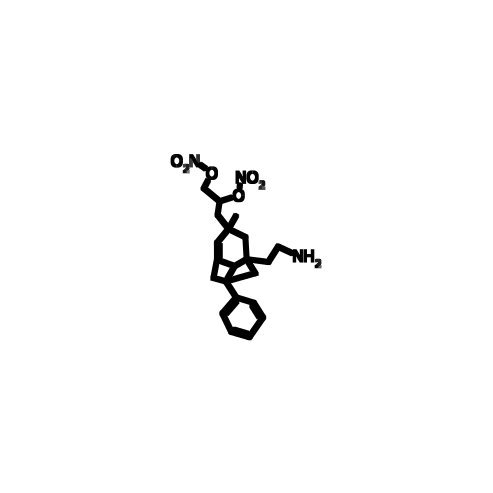 CC1(CC(CO[N+](=O)[O-])O[N+](=O)[O-])C=C2CC3(c4ccccc4)CC(CCN)(C1)C23